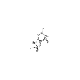 FC(F)(Br)Oc1ccc(I)nc1Br